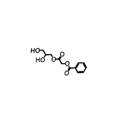 O=C(COC(=O)c1ccccc1)OCC(O)CO